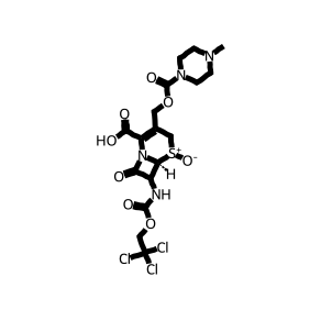 CN1CCN(C(=O)OCC2=C(C(=O)O)N3C(=O)C(NC(=O)OCC(Cl)(Cl)Cl)[C@@H]3[S+]([O-])C2)CC1